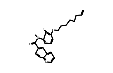 C=CCCCCCCOc1cccc(N(C)C(=O)c2ccc3ncccc3c2)c1F